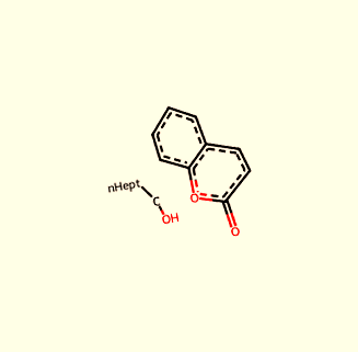 CCCCCCCCO.O=c1ccc2ccccc2o1